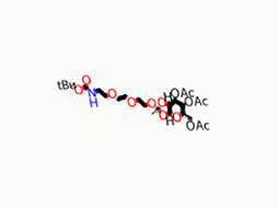 CC(=O)OC[C@H]1O[C@@H]2O[C@@](C)(OCCOCCOCCNC(=O)OC(C)(C)C)O[C@@H]2[C@@H](OC(C)=O)[C@@H]1OC(C)=O